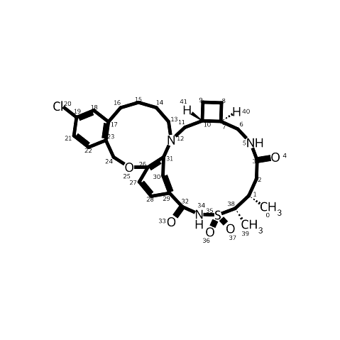 C[C@H]1CC(=O)NC[C@@H]2CC[C@H]2CN2CCCCc3cc(Cl)ccc3COc3ccc(cc32)C(=O)NS(=O)(=O)[C@H]1C